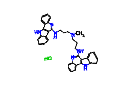 CN(CCCNc1nc2ccccc2c2[nH]c3ccccc3c12)CCCNc1nc2ccccc2c2[nH]c3ccccc3c12.Cl